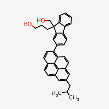 CC(C)Cc1cc2ccc3ccc(-c4ccc5c(c4)C(CO)(CCCO)c4ccccc4-5)c4ccc(c1)c2c34